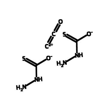 NNC([O-])=S.NNC([O-])=S.[C+2]=C=O